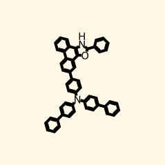 c1ccc(-c2ccc(N(c3ccc(-c4ccccc4)cc3)c3ccc(-c4ccc5c(c4)c4c(c6ccccc65)NC(c5ccccc5)O4)cc3)cc2)cc1